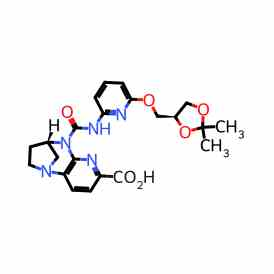 CC1(C)OC[C@H](COc2cccc(NC(=O)N3c4nc(C(=O)O)ccc4N4CC[C@H]3C4)n2)O1